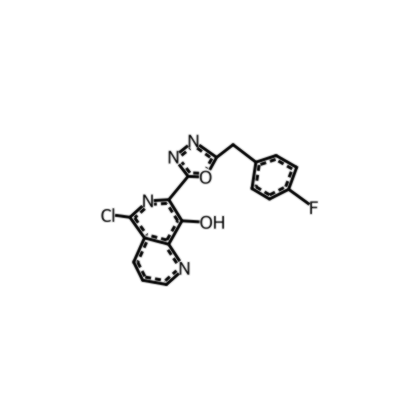 Oc1c(-c2nnc(Cc3ccc(F)cc3)o2)nc(Cl)c2cccnc12